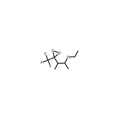 CCOC(C)C(C)C1(C(F)(F)F)OO1